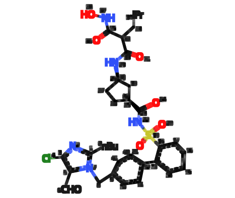 CCCCc1nc(Cl)c(C=O)n1Cc1ccc(-c2ccccc2S(=O)(=O)NC(=O)[C@H]2CC[C@@H](NC(=O)C(CC(C)C)C(=O)NO)C2)cc1